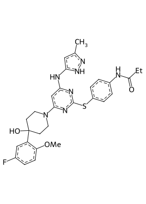 CCC(=O)Nc1ccc(Sc2nc(Nc3cc(C)n[nH]3)cc(N3CCC(O)(c4cc(F)ccc4OC)CC3)n2)cc1